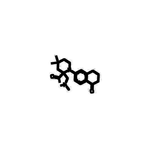 CC(=O)C1(CN(C)C)CC(C)(C)CCN1c1ccc2c(c1)CCCC2=O